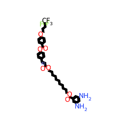 Nc1cc(N)cc(C(=O)OCCCCCCCCCCCOC(=O)/C=C/c2ccc(OC(=O)c3ccc(OCCCC(F)(F)C(F)(F)F)cc3)cc2)c1